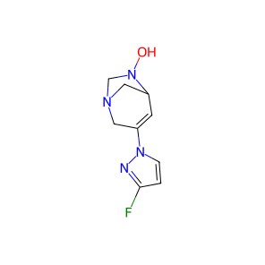 ON1CN2CC(n3ccc(F)n3)=CC1C2